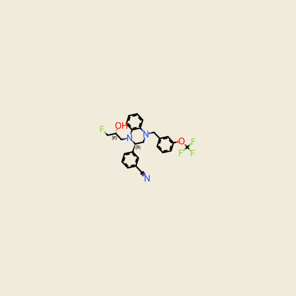 N#Cc1cccc([C@@H]2CN(Cc3cccc(OC(F)(F)F)c3)c3ccccc3N2C[C@@H](O)CF)c1